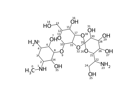 CNC1CC(N)C(O)C(OC2OC(CO)C(O)C3OC4(OC(C(N)CO)C(O)C(O)C4O)OC23)C1O